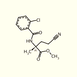 COC(=O)[C@@](C)(CCC#N)NC(=O)c1ccccc1Cl